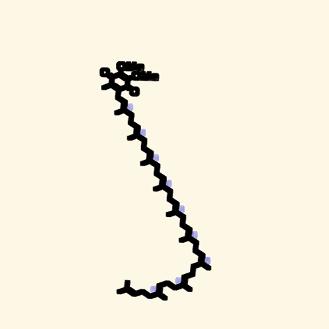 COC1=C(OC)C(=O)C(C/C=C(\C)CC/C=C(\C)CC/C=C(\C)CC/C=C(\C)CC/C=C(\C)CC/C=C(\C)CC/C=C(/C)CC/C=C(\C)CC/C=C(\C)CCC=C(C)C)=C(C)C1=O